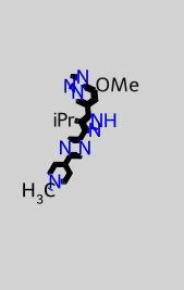 COc1cc(-c2[nH]nc(-c3cnc(C4CCN(C)CC4)cn3)c2C(C)C)cn2ncnc12